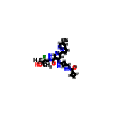 CC(C)(O)C(F)CNC(=O)c1cnc(-c2ccc3cc(C#N)cnn23)cc1NC1CC(CNC(=O)C2CCC2)C1